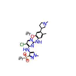 Cc1cc(Nc2ncc(Cl)c(Nc3cn(C)nc3S(=O)(=O)C(C)C)n2)c(OC(C)C)cc1C1CCN(C)C1